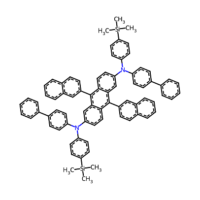 C[Si](C)(C)c1ccc(N(c2ccc(-c3ccccc3)cc2)c2ccc3c(-c4ccc5ccccc5c4)c4cc(N(c5ccc(-c6ccccc6)cc5)c5ccc([Si](C)(C)C)cc5)ccc4c(-c4ccc5ccccc5c4)c3c2)cc1